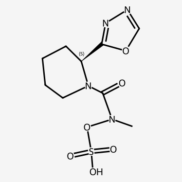 CN(OS(=O)(=O)O)C(=O)N1CCCC[C@H]1c1nnco1